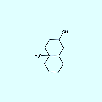 CC12CCCCC1CC(O)CC2